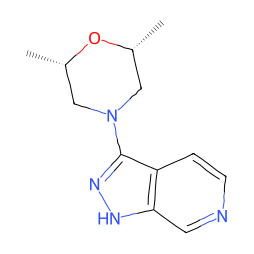 C[C@@H]1CN(c2n[nH]c3cnccc23)C[C@H](C)O1